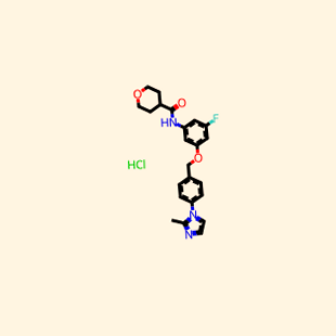 Cc1nccn1-c1ccc(COc2cc(F)cc(NC(=O)C3CCOCC3)c2)cc1.Cl